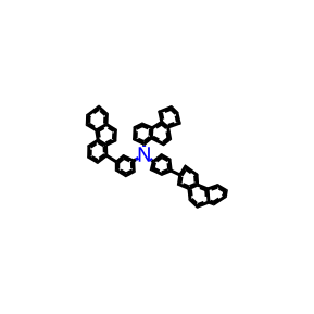 c1cc(-c2cccc3c2ccc2ccccc23)cc(N(c2ccc(-c3ccc4c(ccc5ccccc54)c3)cc2)c2cccc3c2ccc2ccccc23)c1